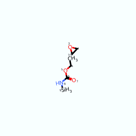 C1CO1.CCOC(=O)N[SiH3]